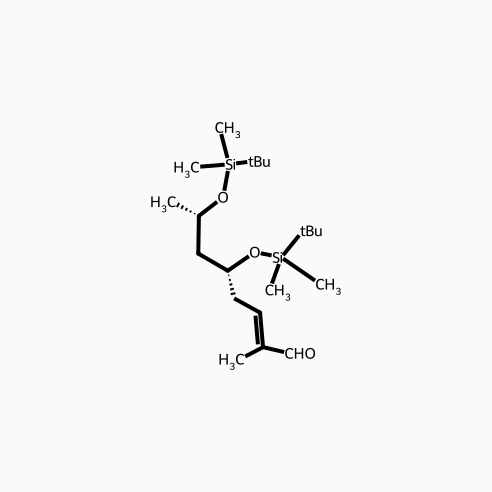 C/C(C=O)=C\C[C@H](C[C@H](C)O[Si](C)(C)C(C)(C)C)O[Si](C)(C)C(C)(C)C